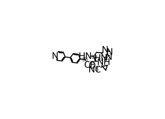 N#CC1(NC(=O)[C@H](Cc2nnn[nH]2)N[C@@H](c2ccc(-c3ccncc3)cc2)C(F)(F)F)CC1